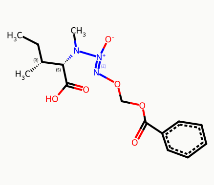 CC[C@@H](C)[C@@H](C(=O)O)N(C)/[N+]([O-])=N/OCOC(=O)c1ccccc1